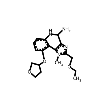 CCOCc1nc2c(n1C)-c1c(cccc1OC1CCOC1)NC2N